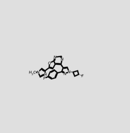 Cn1cnc(-c2cc3c(-c4cn([C@H]5C[C@@H](F)C5)nc4-c4ccc(F)cc4)ncnc3o2)c1